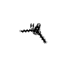 CCCCCCCCOC(=O)c1ccccc1C(=O)OCCCCCCCC.O.O